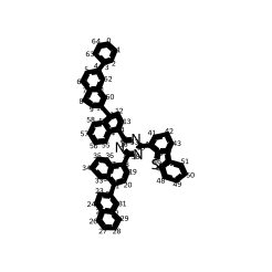 c1ccc(-c2ccc3ccc(-c4ccc(-c5nc(-c6ccc(-c7ccc8ccccc8c7)c7ccccc67)nc(-c6cccc7c6sc6ccccc67)n5)c5ccccc45)cc3c2)cc1